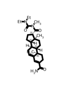 CCN(CC)C(=O)N(C)C(=O)[C@H]1CC[C@H]2[C@@H]3CC=C4C=C(C(N)=O)CC[C@]4(C)[C@H]3CC[C@]12C